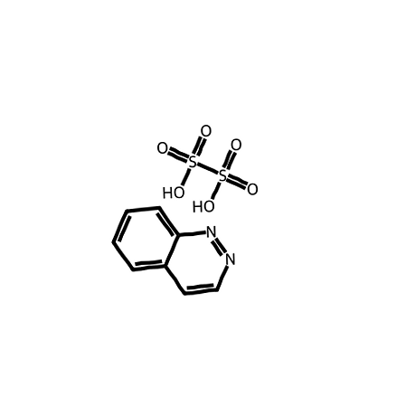 O=S(=O)(O)S(=O)(=O)O.c1ccc2nnccc2c1